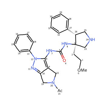 COCC[C@@]1(NC(=O)Nc2c3c(nn2-c2ccccc2)CN(C(C)=O)C3)CNC[C@H]1c1ccccc1